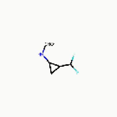 O=[C]NC1CC1C(F)F